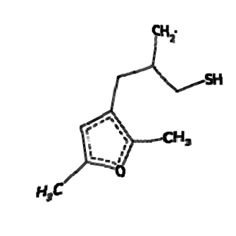 [CH2]C(CS)Cc1cc(C)oc1C